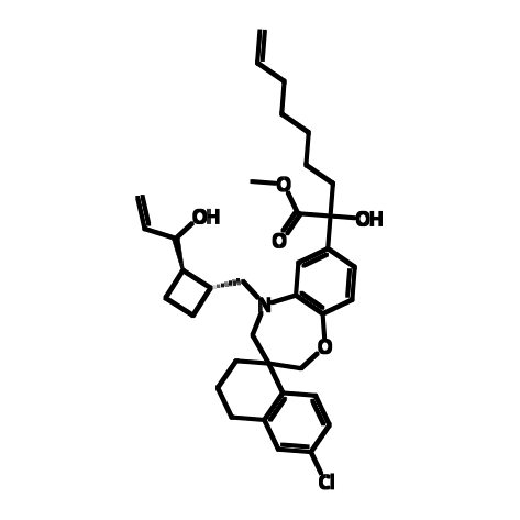 C=CCCCCCC(O)(C(=O)OC)c1ccc2c(c1)N(C[C@@H]1CC[C@H]1C(O)C=C)CC1(CCCc3cc(Cl)ccc31)CO2